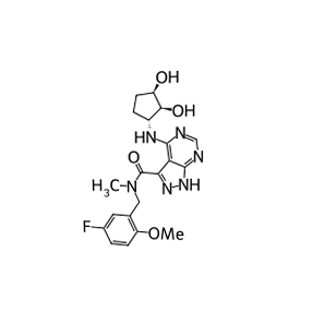 COc1ccc(F)cc1CN(C)C(=O)c1n[nH]c2ncnc(N[C@@H]3CC[C@@H](O)[C@H]3O)c12